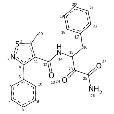 Cc1snc(-c2ccccc2)c1C(=O)NC(Cc1ccccc1)C(=O)C(N)=O